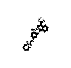 CO/C=C(/C(=O)OC)c1ccccc1COc1cccc(OCC[N+]2([O-])CCOCC2)c1